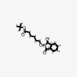 CC(C)(C)OC(=O)CCCCCON1C(=O)c2ccccc2C1=O